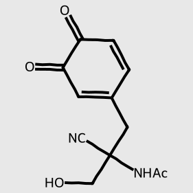 CC(=O)NC(C#N)(CO)CC1=CC(=O)C(=O)C=C1